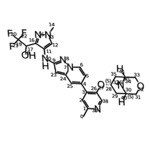 Cc1cc(-c2ccn3nc(Nc4cn(C)nc4C(O)C(F)(F)F)cc3c2)c(O[C@H]2C[C@H]3COC[C@@H](C2)N3C)cn1